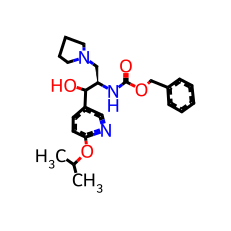 CC(C)Oc1ccc(C(O)[C@@H](CN2CCCC2)NC(=O)OCc2ccccc2)cn1